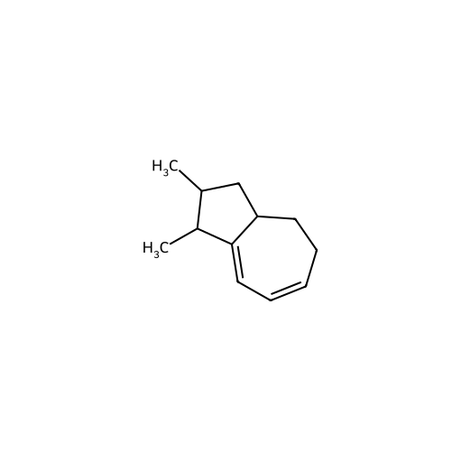 CC1CC2CCC=CC=C2C1C